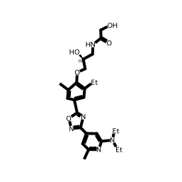 CCc1cc(-c2nc(-c3cc(C)nc(N(CC)CC)c3)no2)cc(C)c1OC[C@@H](O)CNC(=O)CO